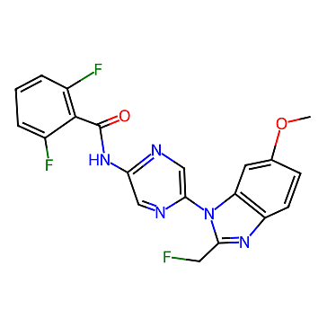 COc1ccc2nc(CF)n(-c3cnc(NC(=O)c4c(F)cccc4F)cn3)c2c1